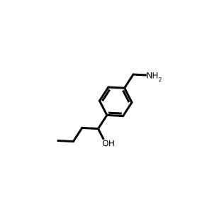 CCCC(O)c1ccc(CN)cc1